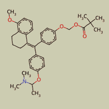 COc1cccc2c1CCCC2=C(c1ccc(OCOC(=O)C(C)(C)C)cc1)c1ccc(OC(C)N(C)C)cc1